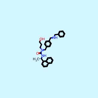 C[C@H](NC(=O)N(CCCO)Cc1ccc(CNCc2ccccc2)cc1)c1cccc2ccccc12